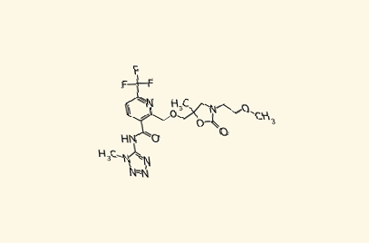 COCCN1CC(C)(COCc2nc(C(F)(F)F)ccc2C(=O)Nc2nnnn2C)OC1=O